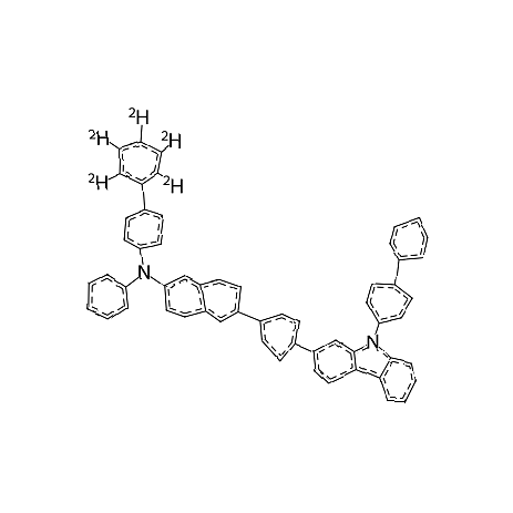 [2H]c1c([2H])c([2H])c(-c2ccc(N(c3ccccc3)c3ccc4cc(-c5ccc(-c6ccc7c8ccccc8n(-c8ccc(-c9ccccc9)cc8)c7c6)cc5)ccc4c3)cc2)c([2H])c1[2H]